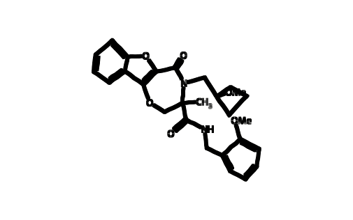 COc1ccccc1CNC(=O)C1(C)COc2c(oc3ccccc23)C(=O)N1CC1(OC)CCC1